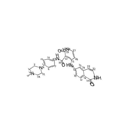 CN1CCN(c2ccc(NC(=O)c3c(Nc4ccc5c(=O)[nH]ccc5c4)cc[nH]c3=O)cc2)CC1